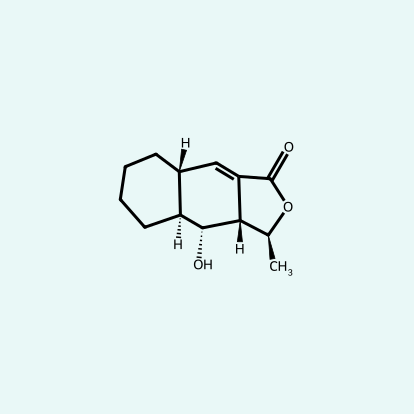 C[C@@H]1OC(=O)C2=C[C@H]3CCCC[C@@H]3[C@@H](O)[C@H]21